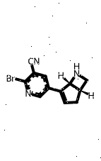 N#Cc1cc(C2=CC[C@H]3CN[C@@H]23)cnc1Br